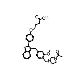 COc1cc(Cc2c(-c3ccc(OCCCC(=O)O)cc3)sc3ccccc23)ccc1CN1CCN(C(C)=O)C1